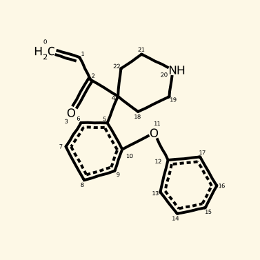 C=CC(=O)C1(c2ccccc2Oc2ccccc2)CCNCC1